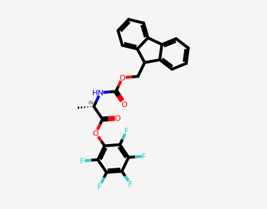 C[C@H](NC(=O)OCC1c2ccccc2-c2ccccc21)C(=O)Oc1c(F)c(F)c(F)c(F)c1F